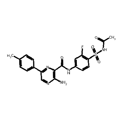 CC(=O)NS(=O)(=O)c1ccc(NC(=O)c2nc(-c3ccc(C)cc3)cnc2N)cc1F